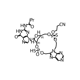 CC(C)C(=O)Nc1nc2c(ncn2[C@@H]2O[C@H]3COP(=S)(OCCC#N)OCCn4c(nc5cncnc54)COP(=O)(S)O[C@@H]2C3)c(=O)[nH]1